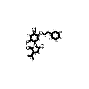 CC(C)=C1CC(=O)N(c2cc(OCCc3ccccc3)c(Cl)cc2F)C1=O